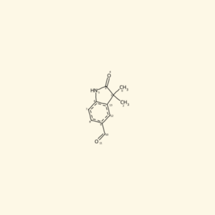 CC1(C)C(=O)Nc2ccc(C=O)cc21